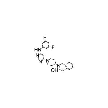 O[C@@H]1CN(c2cc(Nc3cc(F)cc(F)c3)ncn2)CC[C@H]1N1CCc2ccccc2C1